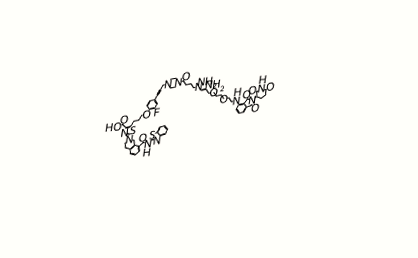 N/C(=C\N(N)CCCC(=O)N1CCN(CC#Cc2ccc(OCCCc3sc(N4CCc5cccc(C(=O)Nc6nc7ccccc7s6)c5C4)nc3C(=O)O)c(F)c2)CC1)COCCOCCNc1cccc2c1C(=O)N(C1CCC(=O)NC1=O)C2=O